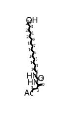 C=C(CCC(C)=O)NC(=O)NCCCCCCCCCCCCCCCCO